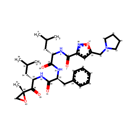 CC(C)C[C@H](NC(=O)c1cc(CN2CCCC2)on1)C(=O)N[C@@H](Cc1ccccc1)C(=O)N[C@@H](CC(C)C)C(=O)[C@@]1(C)CO1